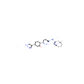 CN(c1ccc(-c2ccc(-c3cnn(C(F)(F)F)c3)cc2O)nn1)[C@H]1C[C@]2(C)CCC[C@](C)(C1)N2